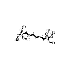 CCO[Si](CSCCSC[Si](OCC)(OCC)OCC)(OCC)OCC